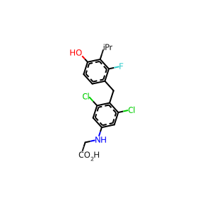 CC(C)c1c(O)ccc(Cc2c(Cl)cc(NCC(=O)O)cc2Cl)c1F